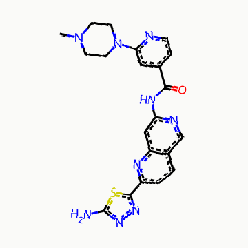 CN1CCN(c2cc(C(=O)Nc3cc4nc(-c5nnc(N)s5)ccc4cn3)ccn2)CC1